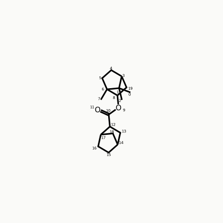 CC1(C)C2CCC1(C)C(OC(=O)C1CC3CCC1C3)C2